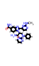 CNc1nccc(-c2nc3cc(C(N)=O)ccc3n2C(CN(c2ccccc2)c2ncccn2)C(N)=O)n1